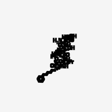 CC(C)C[C@H](NC(=O)CN(CCCCCCc1ccccc1)C(=O)CCOC(C)C)C(=O)N[C@@H](Cc1cnc[nH]1)C(=O)N[C@@H](CO)C(=O)N[C@H](C(N)=O)[C@@H](C)OP(=O)(O)O